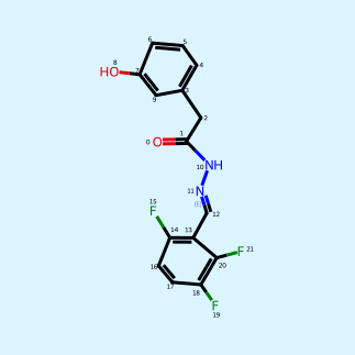 O=C(Cc1cccc(O)c1)N/N=C/c1c(F)ccc(F)c1F